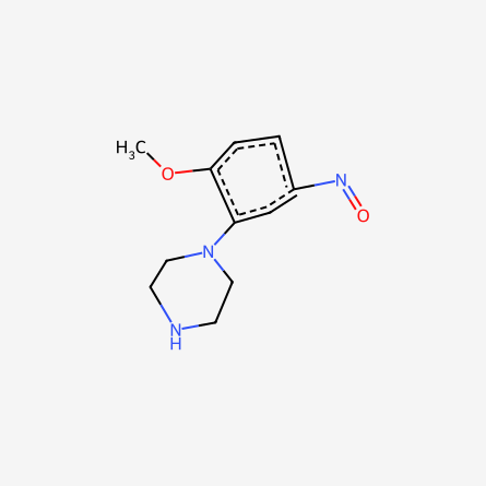 COc1ccc(N=O)cc1N1CCNCC1